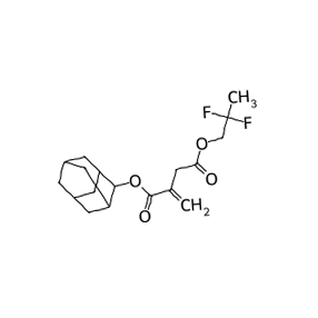 C=C(CC(=O)OCC(C)(F)F)C(=O)OC1C2CC3CC(C2)CC1C3